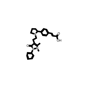 Cc1c(CCN2CCCC2c2ccc(C=CC(=O)O)cc2)c(=O)n(-c2ccccc2)n1C